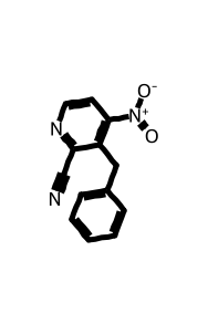 N#Cc1nccc([N+](=O)[O-])c1Cc1ccccc1